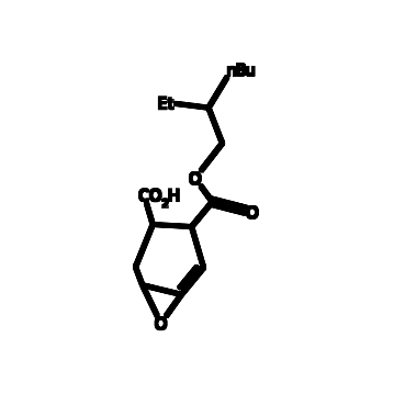 CCCCC(CC)COC(=O)C1C=C2OC2CC1C(=O)O